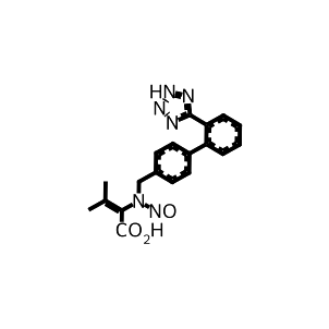 CC(C)=C(C(=O)O)N(Cc1ccc(-c2ccccc2-c2nn[nH]n2)cc1)N=O